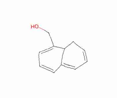 OCC1=CC=CC2=CC=CCC21